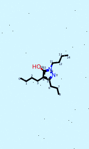 CCCCc1c(CCC)nn(CCCC)c1O